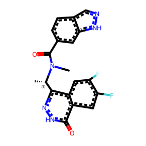 C[C@@H](c1n[nH]c(=O)c2cc(F)c(F)cc12)N(C)C(=O)c1ccc2cn[nH]c2c1